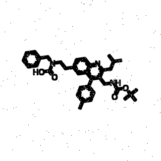 Cc1ccc(-c2c(CNC(=O)OC(C)(C)C)c(CC(C)C)nc3ccc(CCN(Cc4ccccc4)C(=O)O)cc23)cc1